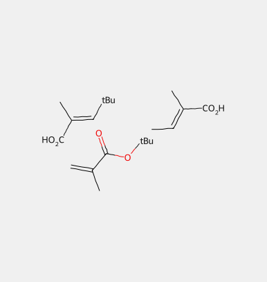 C=C(C)C(=O)OC(C)(C)C.CC(=CC(C)(C)C)C(=O)O.CC=C(C)C(=O)O